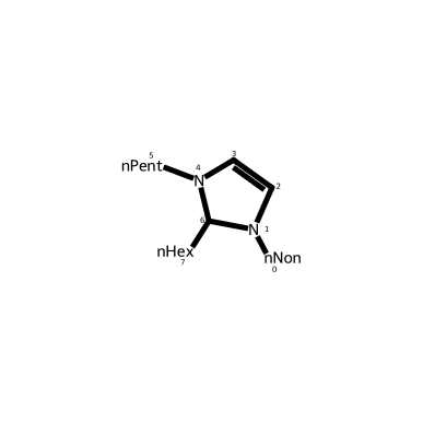 CCCCCCCCCN1C=CN(CCCCC)C1CCCCCC